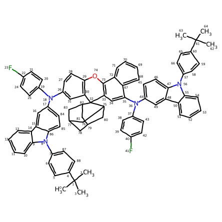 CC(C)(C)c1ccc(-n2c3ccccc3c3cc(N(c4ccc(F)cc4)c4ccc5c(c4)C4(c6cc(N(c7ccc(F)cc7)c7ccc8c(c7)c7ccccc7n8-c7ccc(C(C)(C)C)cc7)c7ccccc7c6O5)C5CC6CC(C5)CC4C6)ccc32)cc1